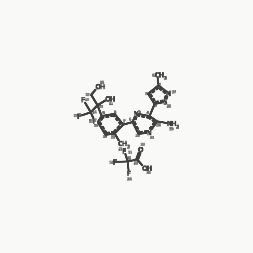 Cc1cc(-c2nc(-c3cc(C(O)(CO)C(F)(F)F)ccc3C)cnc2N)sn1.O=C(O)C(F)(F)F